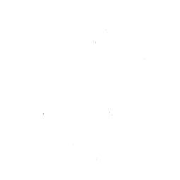 CC(C)(C)OC(=O)N1CCC2(CCC(=O)CC2)CC1.O=C(O)N1CCC2(CCC(N3CCC3)CC2)CC1